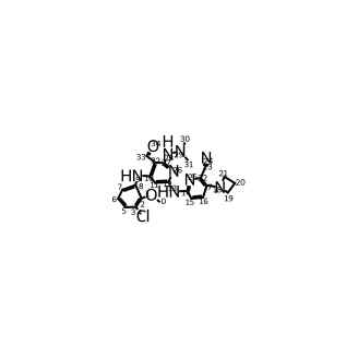 COc1c(Cl)cccc1Nc1cc(Nc2ccc(N3CCC3)c(C#N)n2)nc(NN(C)C)c1C=O